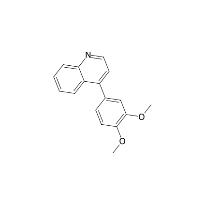 COc1ccc(-c2ccnc3ccccc23)cc1OC